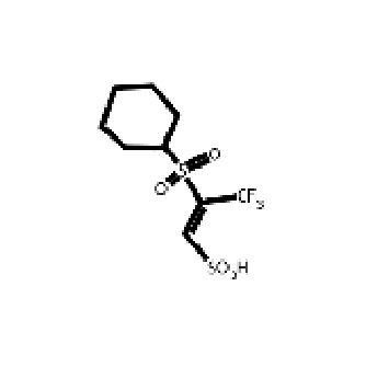 O=S(=O)(O)C=C(C(F)(F)F)S(=O)(=O)C1CCCCC1